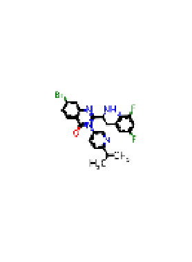 CC(C)c1ccc(-n2c([C@@H](N)Cc3cc(F)cc(F)c3)nc3cc(Br)ccc3c2=O)cn1